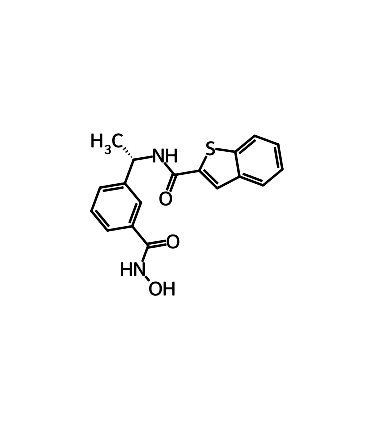 C[C@H](NC(=O)c1cc2ccccc2s1)c1cccc(C(=O)NO)c1